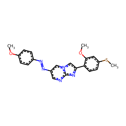 COc1ccc(N=Nc2cnc3nc(-c4ccc(SC)cc4OC)cn3c2)cc1